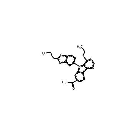 CCOc1nc2cc(-n3c4cc(C(C)=O)ccc4c4ncnc(OCC)c43)ccc2o1